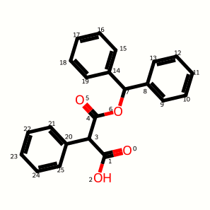 O=C(O)C(C(=O)OC(c1ccccc1)c1ccccc1)c1ccccc1